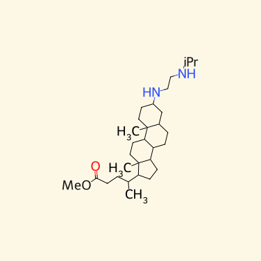 COC(=O)CCC(C)C1CCC2C3CCC4CC(NCCNC(C)C)CCC4(C)C3CCC12C